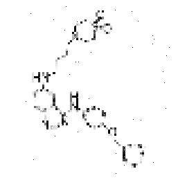 O=S1(=O)CCN(CCCCNc2ccc3ncnc(Nc4ccc(OCc5ccccc5)cc4)c3c2)CC1